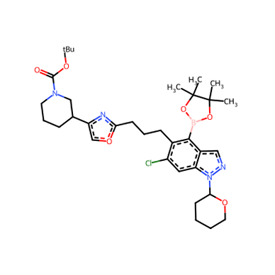 CC(C)(C)OC(=O)N1CCCC(c2coc(CCCc3c(Cl)cc4c(cnn4C4CCCCO4)c3B3OC(C)(C)C(C)(C)O3)n2)C1